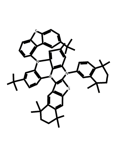 Cc1cc2c3c(c1)N(c1cccc4sc5ccc(C(C)(C)C)cc5c14)c1cc(C(C)(C)C)ccc1B3c1c(sc3cc4c(cc13)C(C)(C)CCC4(C)C)N2c1ccc2c(c1)C(C)(C)CCC2(C)C